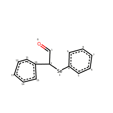 O=CC([Se]c1ccccc1)c1ccccc1